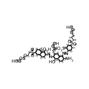 Nc1ccc2c(O)c(/N=N/c3ccc4cc(S(=O)(=O)CCOSOOO)ccc4c3S(=O)(=O)O)c(SOOO)cc2c1/N=N/c1ccc(S(=O)(=O)CCSOOO)cc1S(=O)(=O)O